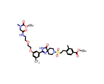 Cc1cc(C(=O)OC(C)(C)C)ccc1CCS(=O)(=O)N1CCC2(CC1)N=C(c1cc(OCCOCCNC(=O)CN(C)C(=O)OC(C)(C)C)cc(C(F)(F)F)c1)NC2=O